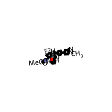 [2H]C(c1ccc(-c2ccc3c(cnn3C)c2)cc1)N(C(=O)[C@@H]1C[C@@H]2CC[C@H]1C2)c1cc(F)cc(/C=C/C(=O)OC)c1